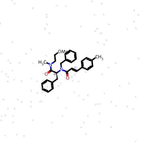 COCCN(C)C(=O)[C@H](Cc1ccccc1)N(Cc1ccccc1)C(=O)/C=C/c1ccc(C)cc1